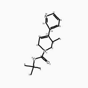 CC1CN(C(=O)OC(C)(C)C)CC=C1c1cccnc1